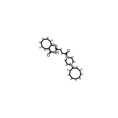 O=C1NC(CCC(=O)N2CCN(C3CCCCCCCC3)CC2)=NC2CCCCCCC12